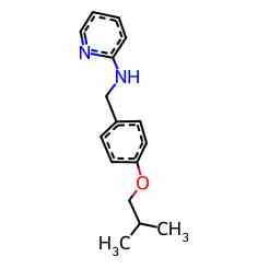 CC(C)COc1ccc(CNc2ccccn2)cc1